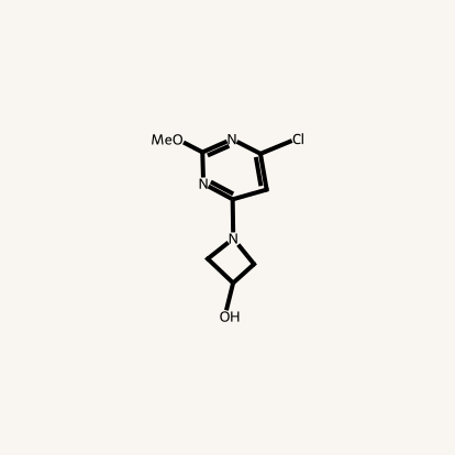 COc1nc(Cl)cc(N2CC(O)C2)n1